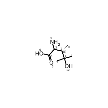 C[C@@H](C(N)C(=O)O)C(C)(C)O